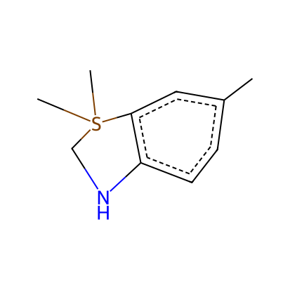 Cc1ccc2c(c1)S(C)(C)CN2